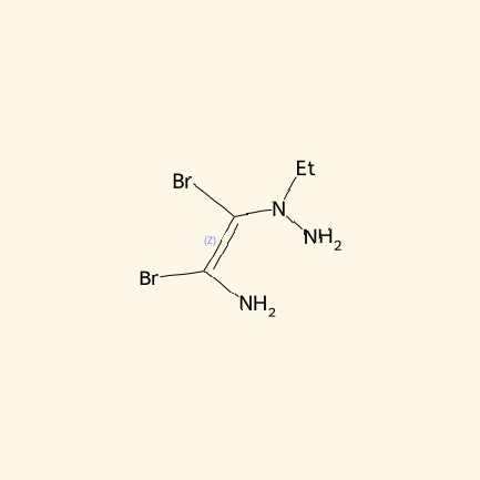 CCN(N)/C(Br)=C(\N)Br